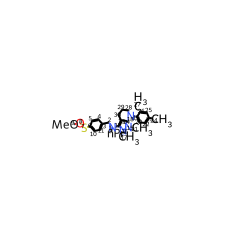 CCCN(Cc1ccc(SOOC)cc1)c1c2c(nn1C)N(c1c(C)cc(C)cc1C)CCC2